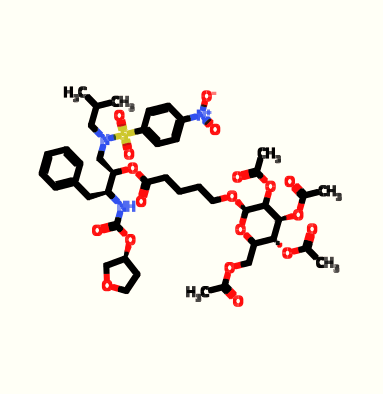 CC(=O)OCC1O[C@@H](OCCCCC(=O)O[C@H](CN(CC(C)C)S(=O)(=O)c2ccc([N+](=O)[O-])cc2)[C@H](Cc2ccccc2)NC(=O)O[C@H]2CCOC2)C(OC(C)=O)[C@@H](OC(C)=O)[C@@H]1OC(C)=O